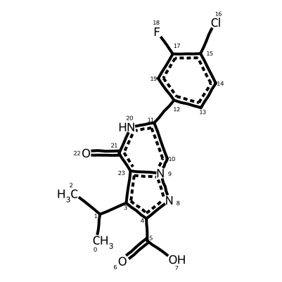 CC(C)c1c(C(=O)O)nn2cc(-c3ccc(Cl)c(F)c3)[nH]c(=O)c12